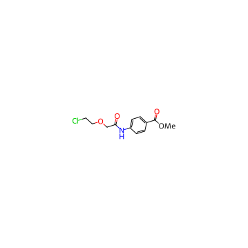 COC(=O)c1ccc(NC(=O)COCCCl)cc1